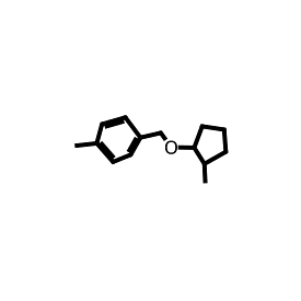 Cc1ccc(COC2CCCC2C)cc1